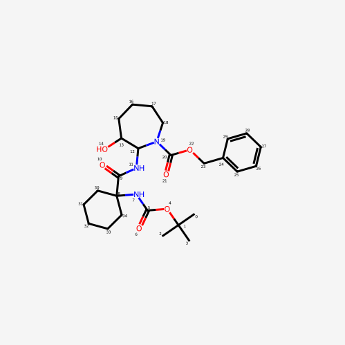 CC(C)(C)OC(=O)NC1(C(=O)NC2C(O)CCCCN2C(=O)OCc2ccccc2)CCCCC1